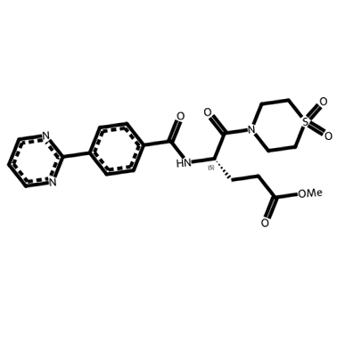 COC(=O)CC[C@H](NC(=O)c1ccc(-c2ncccn2)cc1)C(=O)N1CCS(=O)(=O)CC1